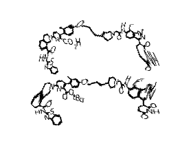 Cc1cc(OCCCC2CCN(CC(=O)Nc3ccc4c(C5CCC(=O)NC5=O)nn(C)c4c3F)CC2)ccc1-c1ccc(N2CCc3cccc(C(=O)Nc4nc5ccccc5s4)c3C2)nc1C(=O)O.Cc1cc(OCCCC2CCN(CC(=O)Nc3ccc4c(C5CCC(=O)NC5=O)nn(C)c4c3F)CC2)ccc1-c1ccc(N2CCc3cccc(C(=O)Nc4nc5ccccc5s4)c3C2)nc1C(=O)OC(C)(C)C